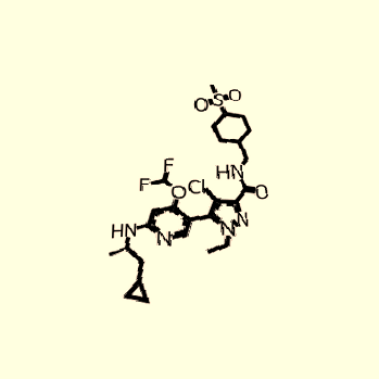 CCn1nc(C(=O)NCC2CCC(S(C)(=O)=O)CC2)c(Cl)c1-c1cnc(N[C@H](C)CC2CC2)cc1OC(F)F